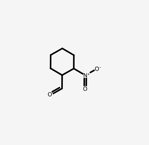 O=CC1CCCCC1[N+](=O)[O-]